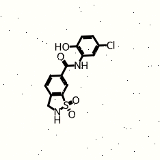 O=C(Nc1cc(Cl)ccc1O)c1ccc2c(c1)S(=O)(=O)NC2